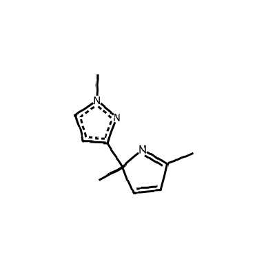 CC1=NC(C)(c2ccn(C)n2)C=C1